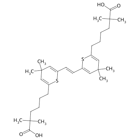 CC1(C)C=C(/C=C/C2=CC(C)(C)C=C(CCCCC(C)(C)C(=O)O)S2)SC(CCCCC(C)(C)C(=O)O)=C1